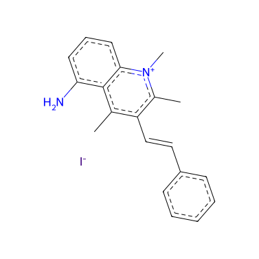 Cc1c(C=Cc2ccccc2)c(C)[n+](C)c2cccc(N)c12.[I-]